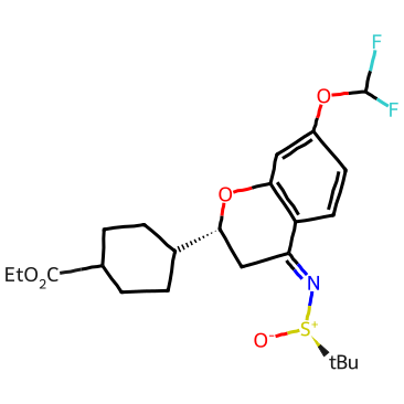 CCOC(=O)C1CCC([C@H]2CC(=N[S@+]([O-])C(C)(C)C)c3ccc(OC(F)F)cc3O2)CC1